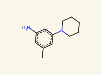 Cc1cc(N)cc(N2CCCCC2)c1